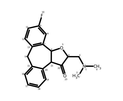 CN(C)CC1OC2c3cc(F)ccc3Cc3ccccc3C2C1=O